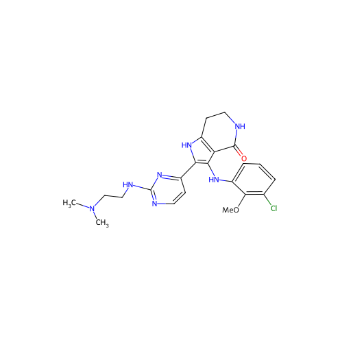 COc1c(Cl)cccc1Nc1c(-c2ccnc(NCCN(C)C)n2)[nH]c2c1C(=O)NCC2